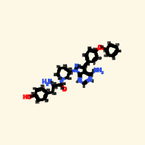 Nc1ncnc2c1c(-c1ccc(Oc3ccccc3)cc1)nn2[C@@H]1CCCN(C(=O)[C@H](N)Cc2ccc(O)cc2)C1